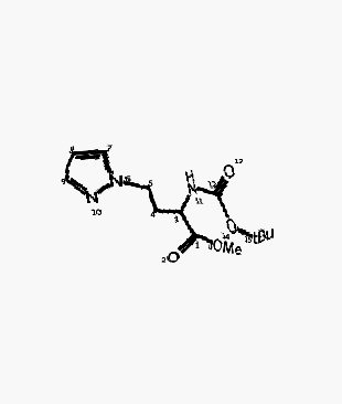 COC(=O)C(CCn1cccn1)NC(=O)OC(C)(C)C